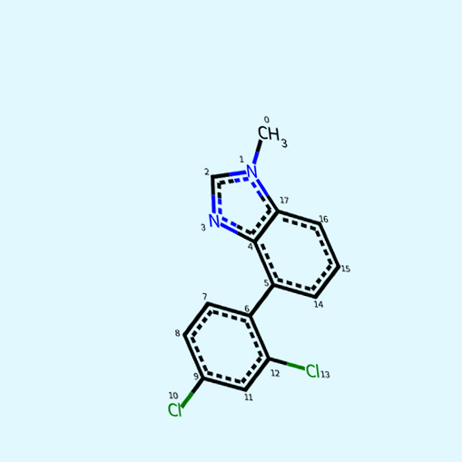 Cn1cnc2c(-c3ccc(Cl)cc3Cl)cccc21